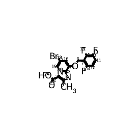 Cc1nc2c(OCc3c(F)ccc(F)c3F)cc(Br)cn2c1C(=O)O